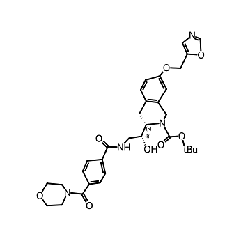 CC(C)(C)OC(=O)N1Cc2cc(OCc3cnco3)ccc2C[C@H]1[C@H](O)CNC(=O)c1ccc(C(=O)N2CCOCC2)cc1